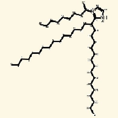 CCCCCCCCCCCCCCCC(CCCCCCCCCCCCCCC)c1[nH]cc[n+]1C(C)CCCCCCCC